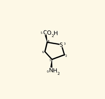 N[C@@H]1CS[C@H](C(=O)O)C1